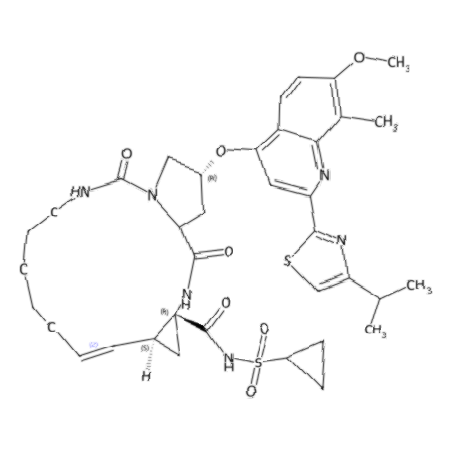 COc1ccc2c(O[C@@H]3CC4C(=O)N[C@]5(C(=O)NS(=O)(=O)C6CC6)C[C@H]5/C=C\CCCCCNC(=O)N4C3)cc(-c3nc(C(C)C)cs3)nc2c1C